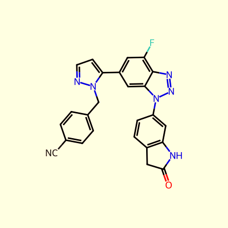 N#Cc1ccc(Cn2nccc2-c2cc(F)c3nnn(-c4ccc5c(c4)NC(=O)C5)c3c2)cc1